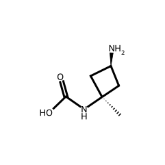 C[C@]1(NC(=O)O)C[C@@H](N)C1